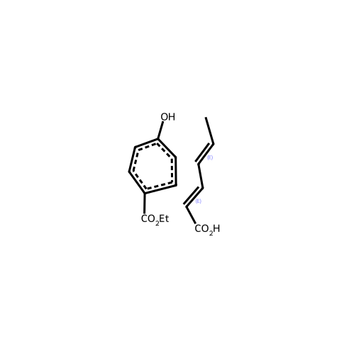 C/C=C/C=C/C(=O)O.CCOC(=O)c1ccc(O)cc1